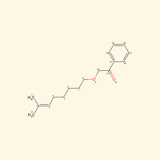 CC(C)=CCCCCCOCC(=O)c1ccccc1